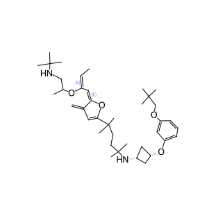 C=c1cc(C(C)(C)CCC(C)(C)N[C@H]2C[C@@H](Oc3cccc(OCC(C)(C)C)c3)C2)o/c1=C/C(=C\C)OC(C)CNC(C)(C)C